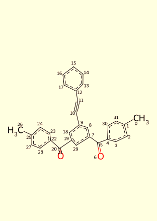 Cc1ccc(C(=O)c2cc(C#Cc3ccccc3)cc(C(=O)c3ccc(C)cc3)c2)cc1